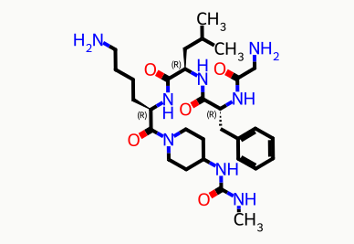 CNC(=O)NC1CCN(C(=O)[C@@H](CCCCN)NC(=O)[C@@H](CC(C)C)NC(=O)[C@@H](Cc2ccccc2)NC(=O)CN)CC1